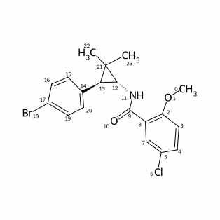 COc1ccc(Cl)cc1C(=O)N[C@@H]1[C@@H](c2ccc(Br)cc2)C1(C)C